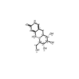 Nc1nc(=O)[nH]cc1CC1O[C@H](CO)[C@@H](O)[C@H](O)[C@H]1O